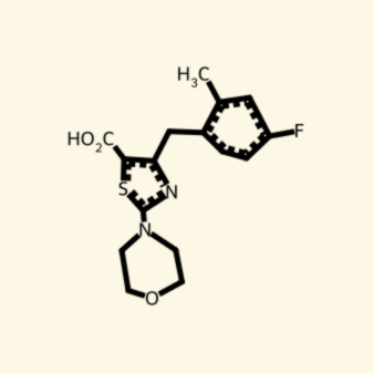 Cc1cc(F)ccc1Cc1nc(N2CCOCC2)sc1C(=O)O